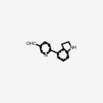 O=Cc1ccc(-c2cccc3c2CCN3)nc1